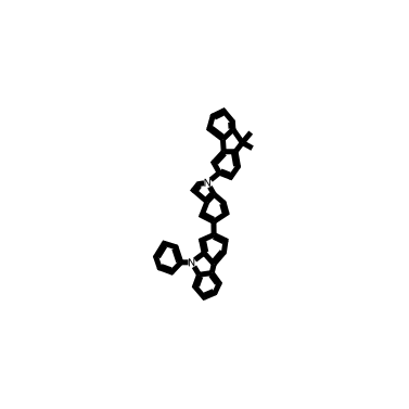 CC1(C)c2ccccc2-c2cc(-n3ccc4cc(-c5ccc6c7ccccc7n(-c7ccccc7)c6c5)ccc43)ccc21